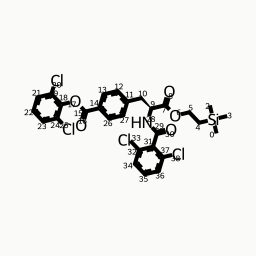 C[Si](C)(C)CCOC(=O)[C@H](Cc1ccc(C(=O)Oc2c(Cl)cccc2Cl)cc1)NC(=O)c1c(Cl)cccc1Cl